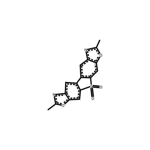 Cc1nc2cc3c(cc2o1)S(=O)(=O)c1cc2oc(C)nc2cc1-3